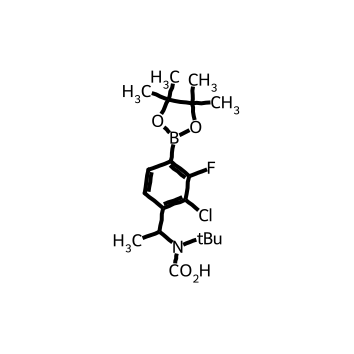 CC(c1ccc(B2OC(C)(C)C(C)(C)O2)c(F)c1Cl)N(C(=O)O)C(C)(C)C